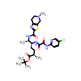 C[C@H](CC[C@H](NC(=O)C(=O)Nc1ccc(Cl)cn1)[C@@H](C)NC(=O)c1nc2c(s1)CN(C)CC2)C(=O)OC(C)(C)C